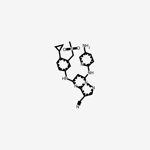 CS(=O)(=O)Cc1cc(Nc2cc(Nc3ccc(N)cn3)n3ncc(C#N)c3n2)ccc1C1CC1